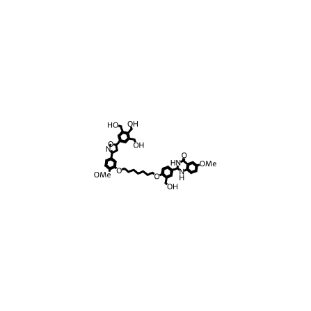 COc1ccc2c(c1)C(=O)NC(c1ccc(OCCCCCCCOc3cc(C4=NOC(c5cc(CO)c(CO)c(CO)c5)C4)ccc3OC)c(CO)c1)N2